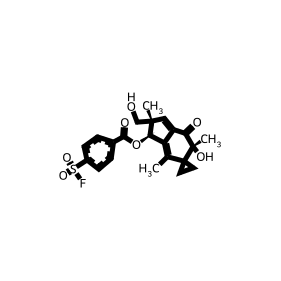 CC1=C2C(=C[C@@](C)(CO)[C@@H]2OC(=O)c2ccc(S(=O)(=O)F)cc2)C(=O)[C@](C)(O)C12CC2